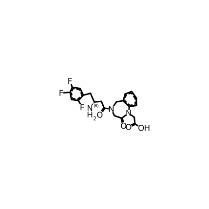 N[C@@H](CC(=O)N1CC(=O)N(CC(=O)O)c2ccccc2C1)Cc1cc(F)c(F)cc1F